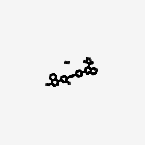 Cl.NNC(=O)c1cc(-c2ccc(C#Cc3ccc(C(=O)N4CCCCC4C(=O)O)cc3Cl)cc2)nc2ccncc12